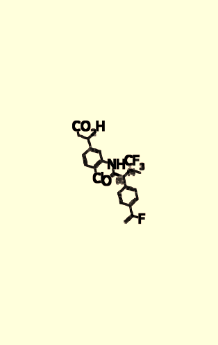 C=C(F)c1ccc([C@@H](C(=O)Nc2cc(C(C)CC(=O)O)ccc2Cl)[C@@H](C)C(F)(F)F)cc1